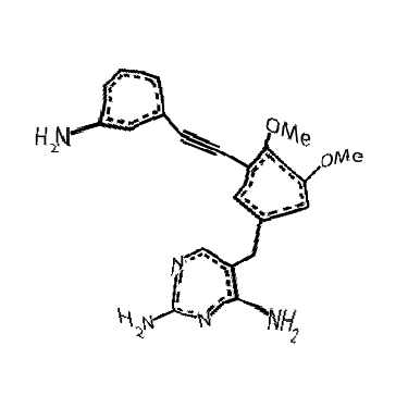 COc1cc(Cc2cnc(N)nc2N)cc(C#Cc2cccc(N)c2)c1OC